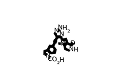 Cn1c(-c2nc(N)ncc2C#Cc2ccc3c(c2)CCN3C(=O)O)cc2c1CCNC2=O